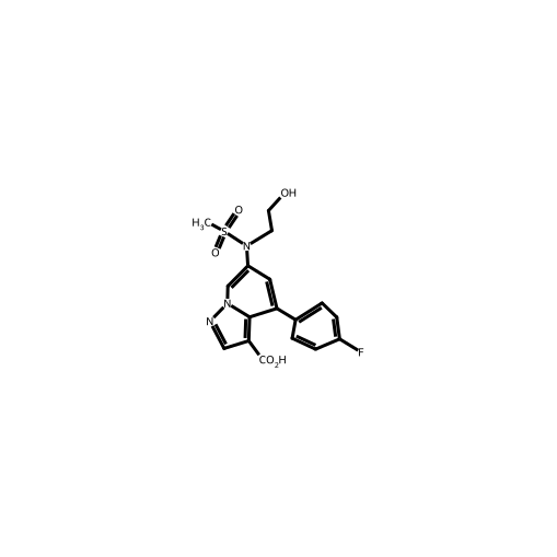 CS(=O)(=O)N(CCO)c1cc(-c2ccc(F)cc2)c2c(C(=O)O)cnn2c1